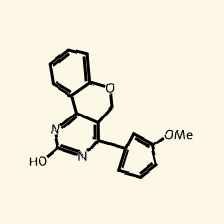 COc1cccc(-c2nc(O)nc3c2COc2ccccc2-3)c1